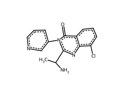 CC(N)c1nc2c(Cl)cccc2c(=O)n1-c1cccnc1